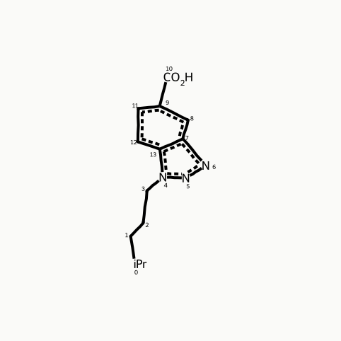 CC(C)CCCn1nnc2cc(C(=O)O)ccc21